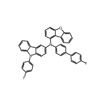 Fc1ccc(-c2ccc(N(c3ccc4c(c3)c3ccccc3n4-c3ccc(F)cc3)c3cccc4oc5ccccc5c34)cc2)cc1